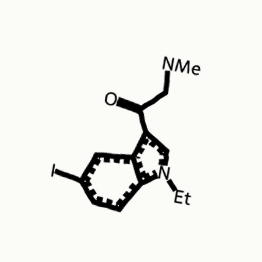 CCn1cc(C(=O)CNC)c2cc(I)ccc21